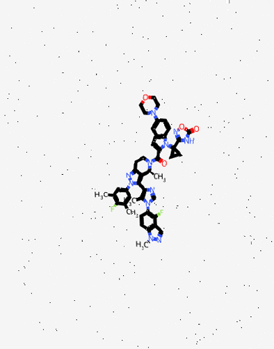 Cc1cc(-n2nc3c(c2-c2ncn(-c4ccc5c(cnn5C)c4F)c2C)[C@H](C)N(C(=O)c2cc4cc(N5CCOCC5)ccc4n2C2(c4noc(=O)[nH]4)CC2)CC3)cc(C)c1F